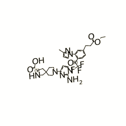 CCOC(=O)CCc1ccc([C@@H](Oc2cc(N3CCC4(CC3)CN[C@H](C(=O)O)C4)nc(N)n2)C(F)(F)F)c(-n2ccc(C)n2)c1